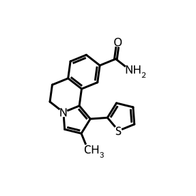 Cc1cn2c(c1-c1cccs1)-c1cc(C(N)=O)ccc1CC2